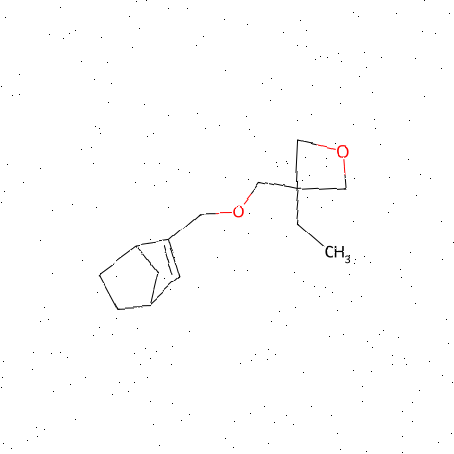 CCC1(COCC2=CC3CCC2C3)COC1